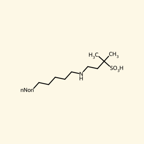 CCCCCCCCCCCCCCNCCC(C)(C)S(=O)(=O)O